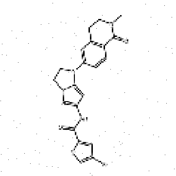 CN1CCc2cc(N3CCn4nc(NC(=O)c5cc(Br)cs5)cc43)ccc2C1=O